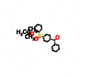 C[Si](C)(C)Oc1ccccc1[S+]([O-])c1ccc(C(=O)c2ccccc2)cc1